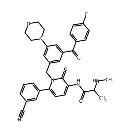 CNC(C)C(=O)Nc1ccc(-c2cccc(C#N)c2)n(Cc2cc(C(=O)c3ccc(F)cc3)cc(N3CCOCC3)c2)c1=O